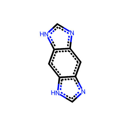 c1nc2cc3nc[nH]c3cc2[nH]1